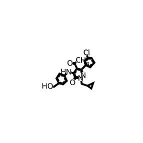 CC(=O)c1c(-c2cccc(Cl)c2)nn(CC2CC2)c(=O)c1Nc1ccc(CO)cc1